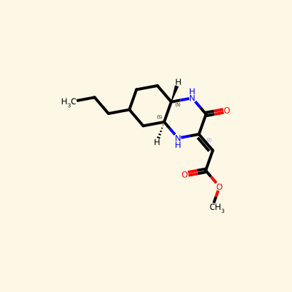 CCCC1CC[C@@H]2NC(=O)/C(=C/C(=O)OC)N[C@H]2C1